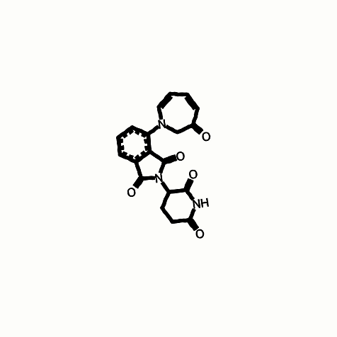 O=C1C=CC=CN(c2cccc3c2C(=O)N(C2CCC(=O)NC2=O)C3=O)C1